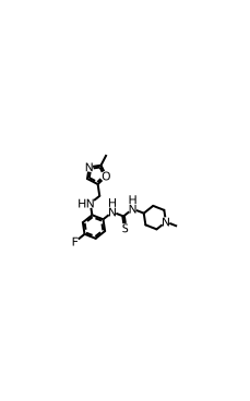 Cc1ncc(CNc2cc(F)ccc2NC(=S)NC2CCN(C)CC2)o1